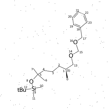 C[C@@H](CCCC(C)(C)O[Si](C)(C)C(C)(C)C)COCOCc1ccccc1